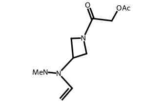 C=CN(NC)C1CN(C(=O)COC(C)=O)C1